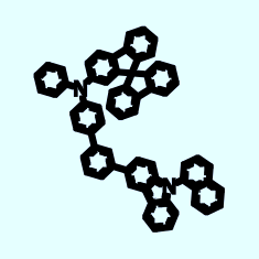 c1ccc(N(c2ccc(-c3cccc(-c4ccc5c(c4)c4ccccc4n5-c4cccc5ccccc45)c3)cc2)c2ccc3c(c2)C2(c4ccccc4-c4ccccc42)c2ccccc2-3)cc1